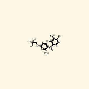 CN(c1ccc(OCC(F)(F)F)nc1)c1ccc(F)c(Cl)c1F.Cl